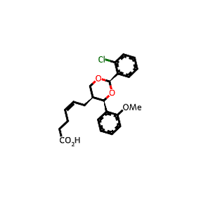 COc1ccccc1[C@@H]1O[C@H](c2ccccc2Cl)OC[C@@H]1C/C=C\CCC(=O)O